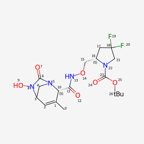 CC1=CC2CN(C(=O)N2O)[C@@H]1C(=O)NOC[C@@H]1CC(F)(F)CN1C(=O)OC(C)(C)C